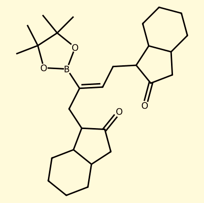 CC1(C)OB(/C(=C\CC2C(=O)CC3CCCCC32)CC2C(=O)CC3CCCCC32)OC1(C)C